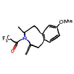 C=C1Cc2ccc(OC)cc2CC(C)N1C(=O)C(F)(F)F